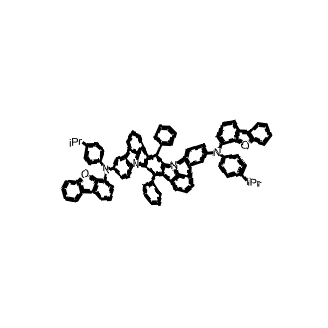 CC(C)c1ccc(N(c2ccc3c(c2)c2cccc4c5c(-c6ccccc6)c6c(c(-c7ccccc7)c5n3c24)c2cccc3c4cc(N(c5ccc(C(C)C)cc5)c5cccc7c5oc5ccccc57)ccc4n6c32)c2cccc3c2oc2ccccc23)cc1